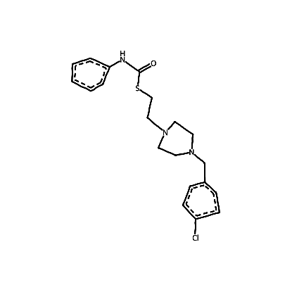 O=C(Nc1ccccc1)SCCN1CCN(Cc2ccc(Cl)cc2)CC1